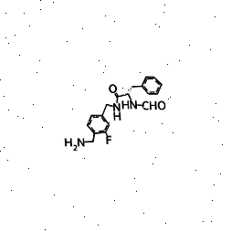 NCc1ccc(CNC(=O)[C@H](Cc2ccccc2)NC=O)cc1F